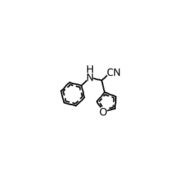 N#CC(Nc1ccccc1)c1ccoc1